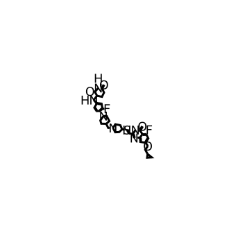 O=C1CCC(Nc2ccc(N3CCC(CN4CCC(SCc5nc6cc(OCC7CC7)cc(F)c6c(=O)[nH]5)CC4)CC3)c(F)c2)C(=O)N1